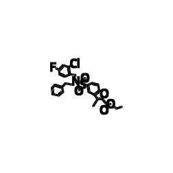 CCOC(=O)c1oc2ccc(S(=O)(=O)N(CCc3ccccc3)Cc3ccc(F)cc3Cl)cc2c1C